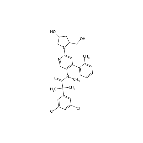 Cc1ccccc1-c1cc(N2CC(O)CC2CO)ncc1N(C)C(=O)C(C)(C)c1cc(Cl)cc(Cl)c1